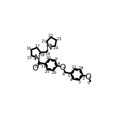 COc1ccc(COc2ccc(C(=O)N3CCCC3CN3CCCC3)cc2)cc1